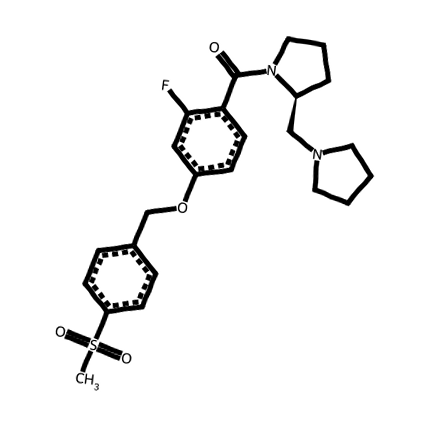 CS(=O)(=O)c1ccc(COc2ccc(C(=O)N3CCC[C@H]3CN3CCCC3)c(F)c2)cc1